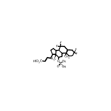 CC12CCC(F)(F)CC1CC(F)(F)C1C2CC(OP(=O)(O)O)C2(C)C(CCCC(=O)O)CCC12